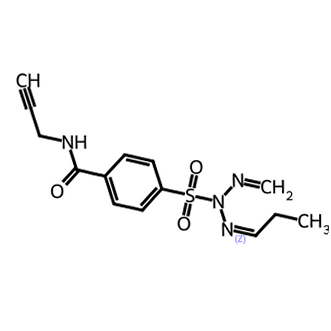 C#CCNC(=O)c1ccc(S(=O)(=O)N(N=C)/N=C\CC)cc1